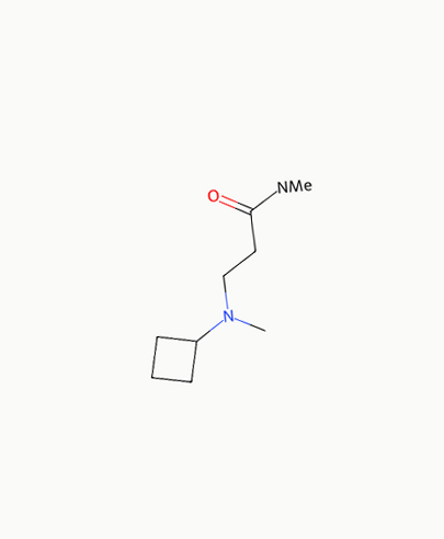 CNC(=O)CCN(C)C1CCC1